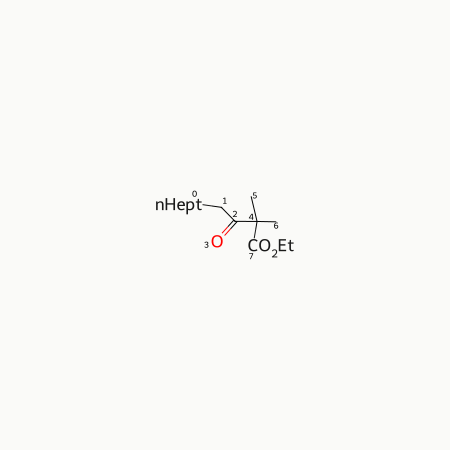 CCCCCCCCC(=O)C(C)(C)C(=O)OCC